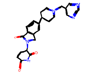 O=C1CCC(N2Cc3cc(C4CCN(Cc5cncnc5)CC4)ccc3C2=O)C(=O)N1